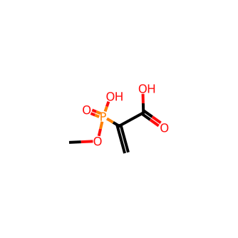 C=C(C(=O)O)P(=O)(O)OC